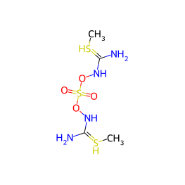 C[SH]=C(N)NOS(=O)(=O)ONC(N)=[SH]C